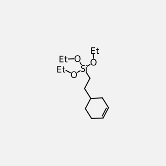 CCO[Si](CCC1CC=CCC1)(OCC)OCC